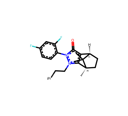 CC(C)CCn1c2c(c(=O)n1-c1ccc(F)cc1F)[C@H]1CC[C@]2(C)C1(C)C